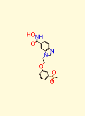 CS(=O)(=O)c1cccc(OCCn2cnc3ccc(C(=O)NO)cc32)c1